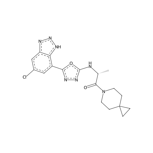 C[C@@H](Nc1nnc(-c2cc(Cl)cc3nn[nH]c23)o1)C(=O)N1CCC2(CC1)CC2